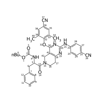 CCCCOC(=O)NC(Cc1ccccc1)C(=O)N1CCc2nc(Nc3ccc(C#N)cc3)nc(Oc3c(C)cc(C#N)cc3C)c2C1